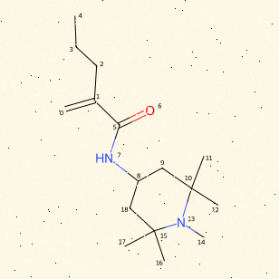 C=C(CCC)C(=O)NC1CC(C)(C)N(C)C(C)(C)C1